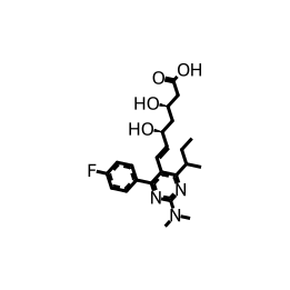 CCC(C)c1nc(N(C)C)nc(-c2ccc(F)cc2)c1/C=C/[C@@H](O)C[C@@H](O)CC(=O)O